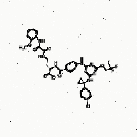 COc1ccccc1NC(=O)C(=O)NCC[C@H](NC(=O)c1ccc(Nc2nc(NC3(c4ccc(Cl)cc4)CC3)nc(OCC(F)(F)F)n2)cc1)C(=O)O